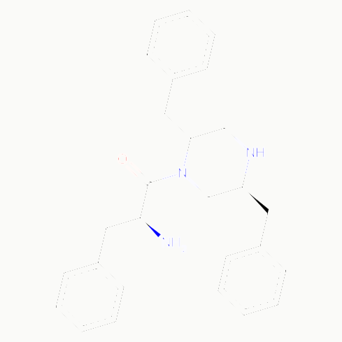 N[C@@H](Cc1ccccc1)C(=O)N1C[C@H](Cc2ccccc2)NCC1Cc1ccccc1